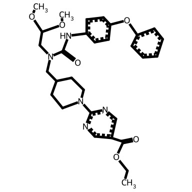 CCOC(=O)c1cnc(N2CCC(CN(CC(OC)OC)C(=O)Nc3ccc(Oc4ccccc4)cc3)CC2)nc1